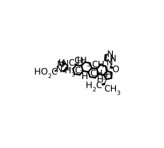 C=C(C)[C@@H]1CC[C@]2(C(=O)n3ccnn3)CC[C@]3(C)[C@H](CC[C@@H]4[C@@]5(C)CC[C@H](c6cn(C(=O)O)nn6)C(C)(C)[C@@H]5CC[C@]43C)[C@@H]12